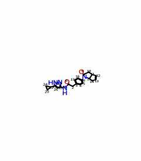 O=C(Cc1ccc(N2C(=O)CC3C=CCC32)cc1)Nc1cc(C2CC2)[nH]n1